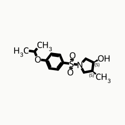 CC(C)Oc1ccc(S(=O)(=O)N2C[C@@H](O)[C@@H](C)C2)cc1